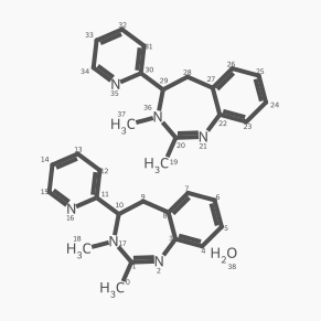 CC1=Nc2ccccc2CC(c2ccccn2)N1C.CC1=Nc2ccccc2CC(c2ccccn2)N1C.O